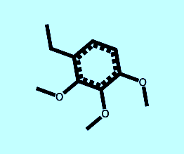 CCc1ccc(OC)c(OC)c1OC